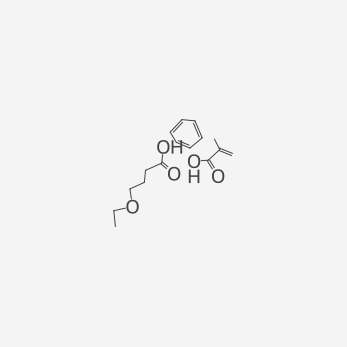 C=C(C)C(=O)O.CCOCCCC(=O)O.c1ccccc1